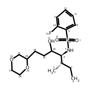 CC[C@H](C)[C@H](NS(=O)(=O)c1ccccc1F)C(O)CCC1COCCO1